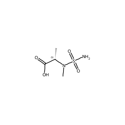 C[C@@H](C(=O)O)N(C)S(N)(=O)=O